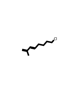 C=C(C)C=CCCCCCl